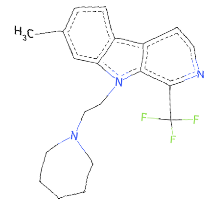 Cc1ccc2c3ccnc(C(F)(F)F)c3n(CCN3CCCCC3)c2c1